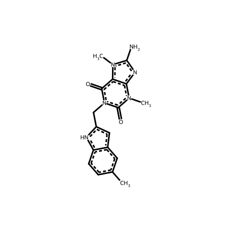 Cc1ccc2[nH]c(Cn3c(=O)c4c(nc(N)n4C)n(C)c3=O)cc2c1